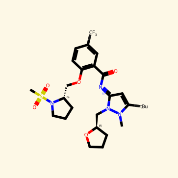 Cn1c(C(C)(C)C)c/c(=N\C(=O)c2cc(C(F)(F)F)ccc2OC[C@@H]2CCCN2S(C)(=O)=O)n1C[C@H]1CCCO1